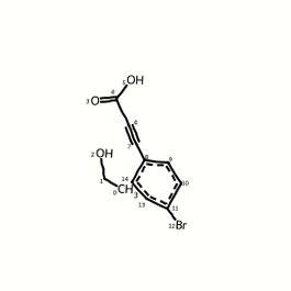 CCO.O=C(O)C#Cc1ccc(Br)cc1